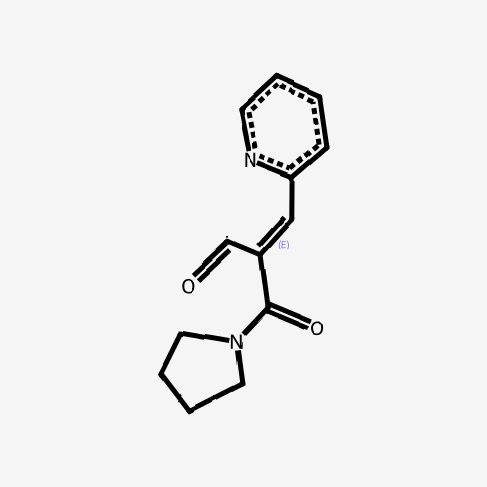 O=[C]/C(=C\c1ccccn1)C(=O)N1CCCC1